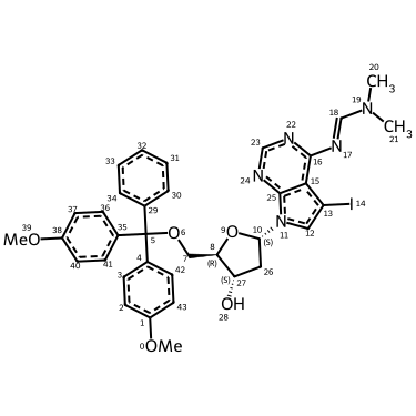 COc1ccc(C(OC[C@H]2O[C@H](n3cc(I)c4c(N=CN(C)C)ncnc43)C[C@@H]2O)(c2ccccc2)c2ccc(OC)cc2)cc1